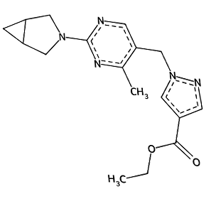 CCOC(=O)c1cnn(Cc2cnc(N3CC4CC4C3)nc2C)c1